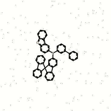 c1ccc(-c2cccc(N(c3ccc4c(c3)C3(c5ccccc5-c5ccccc53)c3ccccc3-4)c3ccc4oc5ccccc5c4c3)c2)cc1